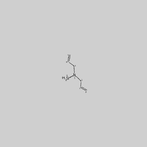 C=CCN([SiH2])CC=C